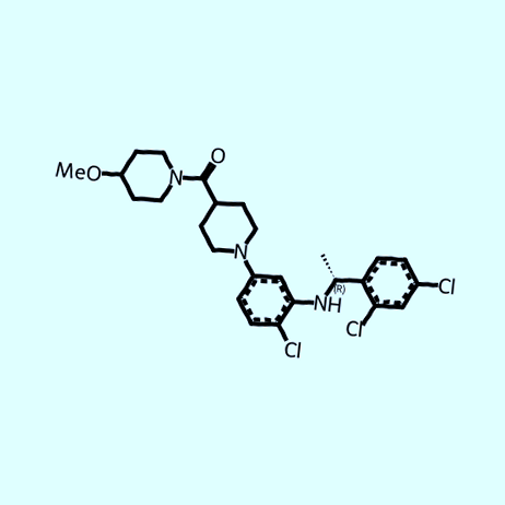 COC1CCN(C(=O)C2CCN(c3ccc(Cl)c(N[C@H](C)c4ccc(Cl)cc4Cl)c3)CC2)CC1